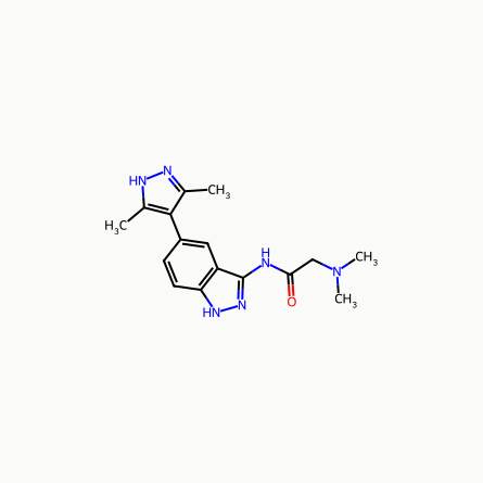 Cc1n[nH]c(C)c1-c1ccc2[nH]nc(NC(=O)CN(C)C)c2c1